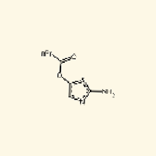 CCCC(=O)Oc1cnc(N)s1